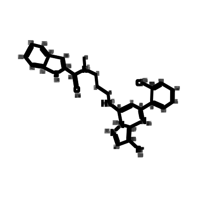 CN(CCCNc1cc(-c2ccccc2Cl)nc2c(Br)cnn12)C(=O)c1cc2ccccc2s1